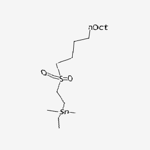 CCCCCCCCCCCCS(=O)(=O)C[CH2][Sn]([CH3])([CH3])[CH3]